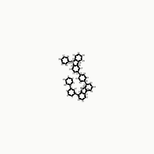 c1ccc(-c2cccc(-c3cccc4c3sc3c(-c5ccc(-c6ccc7c(c6)c6ccccc6n7-c6ccccc6)cc5)cccc34)c2)cc1